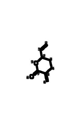 C=CC1CCC(=C)C(=O)O1